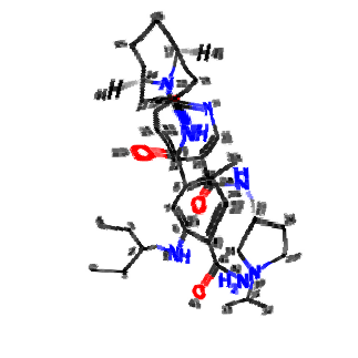 CCC(CC)Nc1cc(C(=O)N[C@H]2C[C@H]3CC[C@@H](C2)N3c2ccc(C(=O)N[C@@H]3CCN(C(C)C)C3)cn2)c(C)cc1C(N)=O